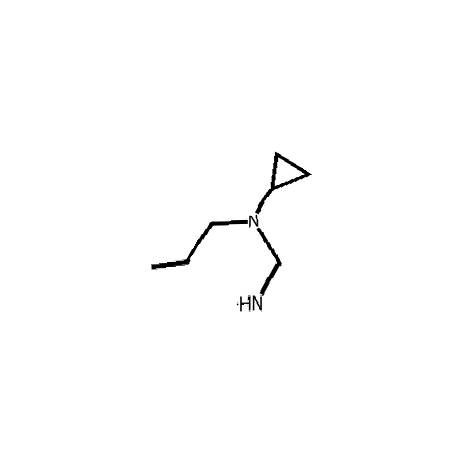 CCCN(C[NH])C1CC1